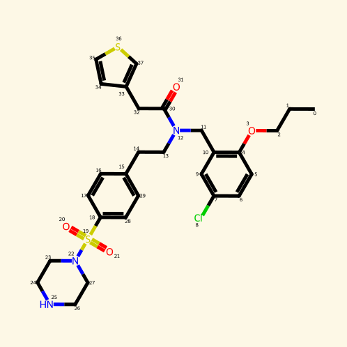 CCCOc1ccc(Cl)cc1CN(CCc1ccc(S(=O)(=O)N2CCNCC2)cc1)C(=O)Cc1ccsc1